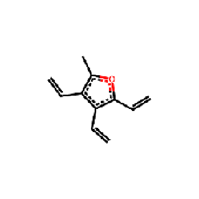 C=Cc1oc(C)c(C=C)c1C=C